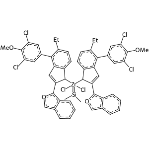 CCc1ccc2c(c1-c1cc(Cl)c(OC)c(Cl)c1)C=C(c1occ3ccccc13)[CH]2[Zr]([Cl])([Cl])([CH]1C(c2occ3ccccc23)=Cc2c1ccc(CC)c2-c1cc(Cl)c(OC)c(Cl)c1)=[Si](C)C